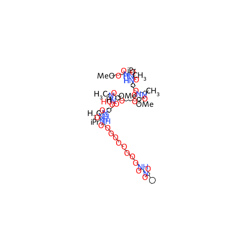 COCCOCCC(=O)N[C@H](C(=O)N[C@@H](C)C(=O)Nc1ccc(COC(=O)N2CC3CC(C)=CN3C(=O)c3cc(OC)c(OCCCCCOc4cc5c(cc4OC)C(=O)N4C=C(C)C[C@H]4[C@H](O)N5C(=O)OCc4ccc(NC(=O)[C@H](C)NC(=O)[C@@H](NC(=O)CCOCCOCCOCCOCCOCCOCCOCCOCCNC(=O)CCN5C(=O)CC(C6CCCCCCC6)C5=O)C(C)C)cc4)cc32)cc1)C(C)C